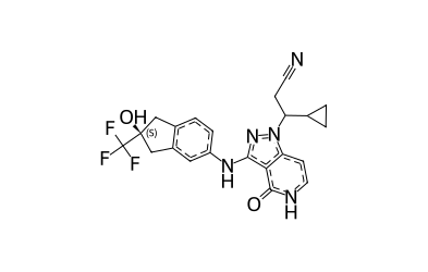 N#CCC(C1CC1)n1nc(Nc2ccc3c(c2)C[C@](O)(C(F)(F)F)C3)c2c(=O)[nH]ccc21